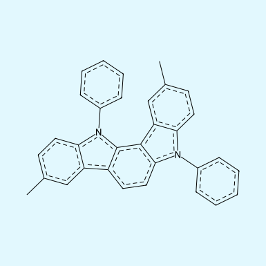 Cc1ccc2c(c1)c1c(ccc3c4cc(C)ccc4n(-c4ccccc4)c31)n2-c1ccccc1